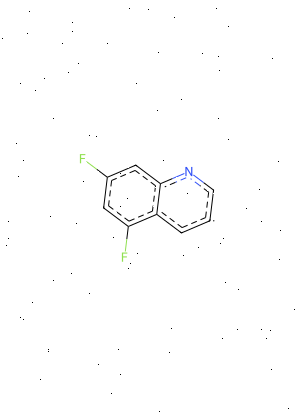 Fc1cc(F)c2c[c]cnc2c1